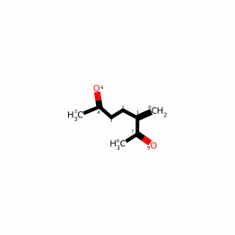 C=C(CCC(C)=O)C(C)=O